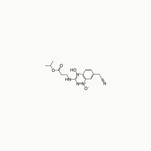 CC(C)OC(=O)CCNc1n[n+]([O-])c2cc(CC#N)ccc2[n+]1O